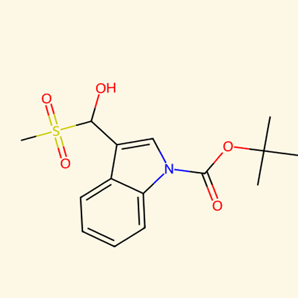 CC(C)(C)OC(=O)n1cc(C(O)S(C)(=O)=O)c2ccccc21